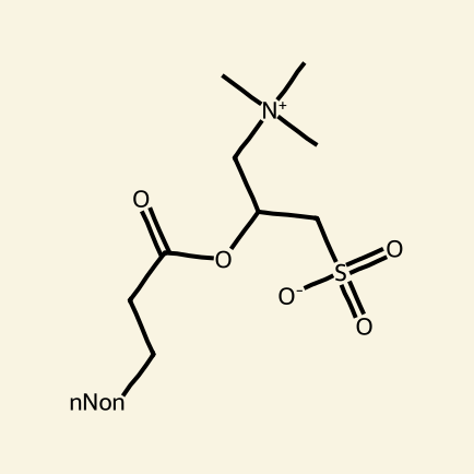 CCCCCCCCCCCC(=O)OC(C[N+](C)(C)C)CS(=O)(=O)[O-]